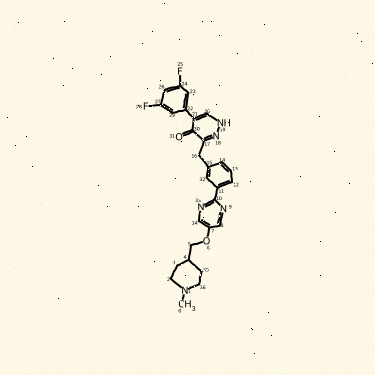 CN1CCC(COc2cnc(-c3cccc(Cc4n[nH]cc(-c5cc(F)cc(F)c5)c4=O)c3)nc2)CC1